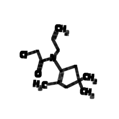 C=CCN(C(=O)CCl)C1=C(C)CC(C)(C)C1